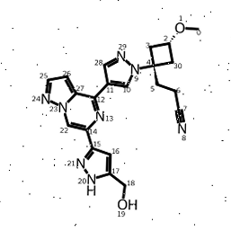 CO[C@H]1C[C@@](CCC#N)(n2cc(-c3nc(-c4cc(CO)[nH]n4)cn4nccc34)cn2)C1